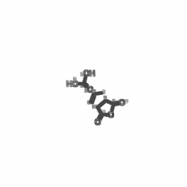 C=CC.O=C(O)O.O=C1CCC(=O)O1